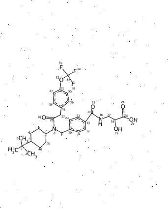 CC(C)(C)C1CCC(N(Cc2ccc(C(=O)NCC(O)C(=O)O)cc2)C(=O)Cc2ccc(OC(F)(F)F)cc2)CC1